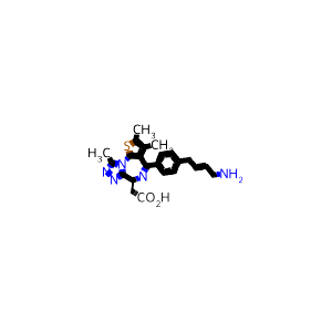 Cc1sc2c(c1C)C(c1ccc(C/C=C/CN)cc1)=N[C@@H](CC(=O)O)c1nnc(C)n1-2